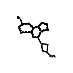 CNC1CN(c2nc3ncc(Br)cc3c3cccn23)C1